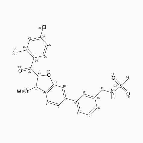 COC1c2ccc(-c3cccc(CNS(C)(=O)=O)c3)cc2OC1C(=O)c1ccc(Cl)cc1Cl